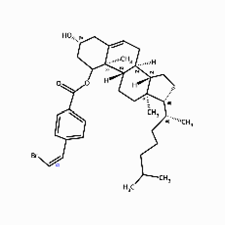 CC(C)CCC[C@@H](C)[C@H]1CC[C@H]2[C@@H]3CC=C4C[C@@H](O)CC(OC(=O)c5ccc(/C=C\Br)cc5)[C@]4(C)[C@H]3CC[C@]12C